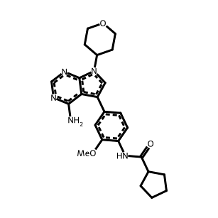 COc1cc(-c2cn(C3CCOCC3)c3ncnc(N)c23)ccc1NC(=O)C1CCCC1